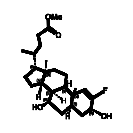 COC(=O)CCC(C)[C@H]1CC[C@H]2[C@@H]3[C@H](O)C[C@@H]4C[C@H](O)C(F)=C[C@]4(C)[C@H]3CC[C@]12C